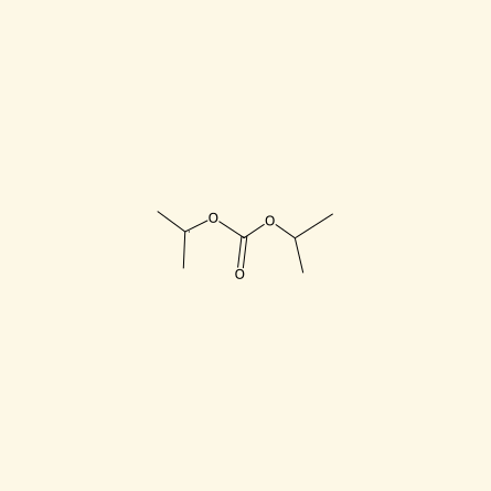 C[C](C)OC(=O)OC(C)C